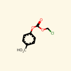 O=C(OCCl)Oc1ccc(C(=O)O)cc1